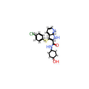 O=C(NC1CCC(O)CC1)c1[nH]c2ncccc2c1Sc1ccc(Cl)cc1